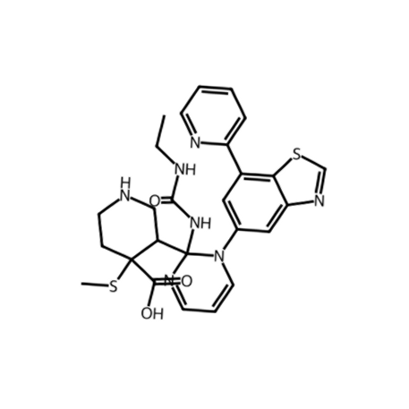 CCNC(=O)NC1(C2CNCCC2(SC)C(=O)O)N=CC=CN1c1cc(-c2ccccn2)c2scnc2c1